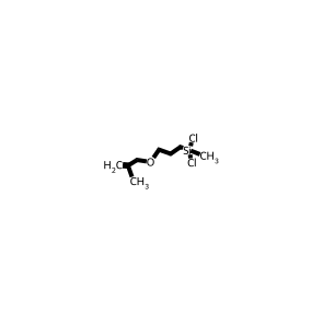 C=C(C)COCCC[Si](C)(Cl)Cl